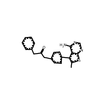 Cc1sc2ncnc(N)c2c1-c1ccc(CC(=O)Cc2ccccc2)cc1